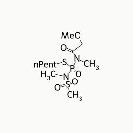 CCCCCSP(=O)(N(C)C(=O)COC)N(C)S(C)(=O)=O